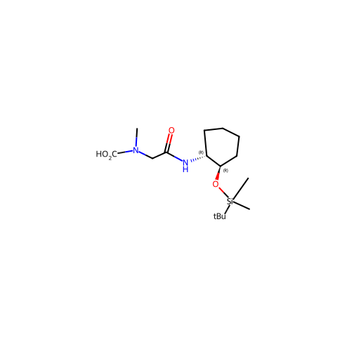 CN(CC(=O)N[C@@H]1CCCC[C@H]1O[Si](C)(C)C(C)(C)C)C(=O)O